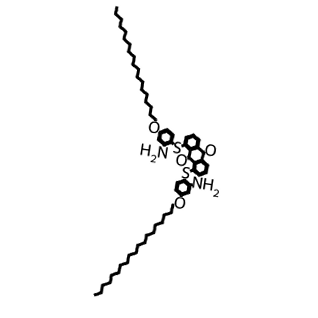 CCCCCCCCCCCCCCCCCCCOc1ccc(Sc2cccc3c2C(=O)c2c(Sc4ccc(OCCCCCCCCCCCCCCCCCCC)cc4N)cccc2C3=O)c(N)c1